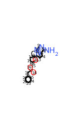 N#C[C@]1(c2ccc3c(N)ncnn23)CC[C@@H](COC(=O)Cc2ccccc2)O1